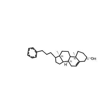 C[C@]12CCC3[C@@H](CC=C4C[C@@H](O)CC[C@@]43C)C1CCC2CCCc1ccccc1